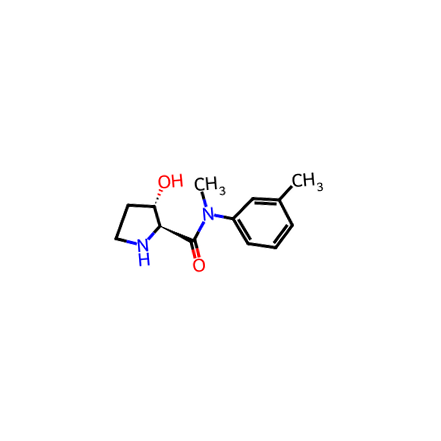 Cc1cccc(N(C)C(=O)[C@H]2NCC[C@@H]2O)c1